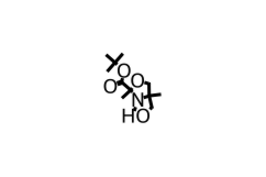 CN1C(C)(CO)COC1(C)C(=O)OC(C)(C)C